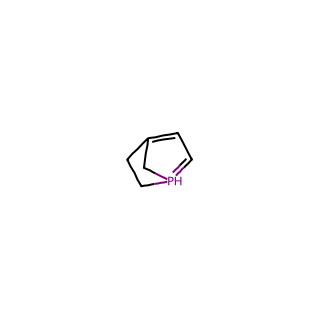 C1=C2CC[PH](=C1)C2